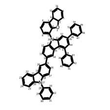 C1=CC2Oc3c(cccc3-n3c4ccc(-c5ccc6c(c5)c5ccccc5n6-c5ccccc5)cc4c4c(-c5ccccc5)cc(-c5ccccc5)cc43)C2C=C1